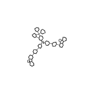 c1ccc(C2(c3ccccc3)c3ccccc3-c3cc(N(c4ccc(-c5ccc(-c6ccc7oc8ccccc8c7c6)cc5)cc4)c4ccc(-c5ccc(-c6cccc7c6oc6ccccc67)cc5)cc4)ccc32)cc1